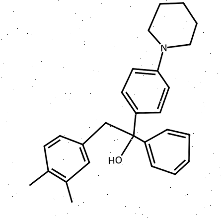 Cc1ccc(CC(O)(c2ccccc2)c2ccc(N3CCCCC3)cc2)cc1C